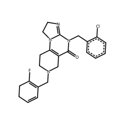 O=C1C2=C(CCN(CC3=C(F)CCC=C3)C2)N2CCN=C2N1Cc1ccccc1Cl